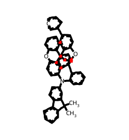 CC1(C)c2ccccc2-c2ccc(N(c3ccc4c(c3)C3(c5ccccc5Oc5ccc(-c6ccccc6)cc53)c3ccccc3O4)c3ccccc3-c3ccccc3)cc21